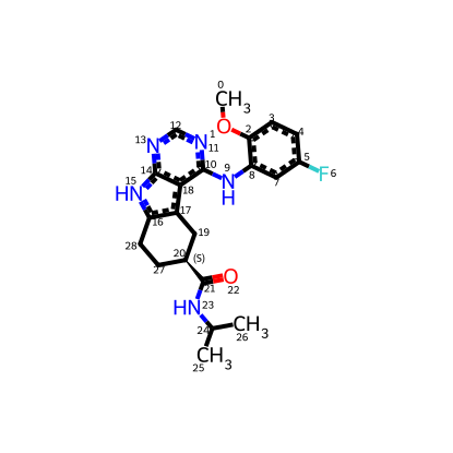 COc1ccc(F)cc1Nc1ncnc2[nH]c3c(c12)C[C@@H](C(=O)NC(C)C)CC3